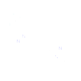 CC(C)(C)c1cnc2cc(CCC(C)(C)c3cnc4cc(C(F)(F)F)ccn34)ccn12